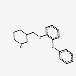 c1ccc(Oc2ncccc2OCC2CCCNC2)cc1